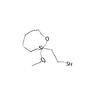 CO[Si]1(CCS)CCCCO1